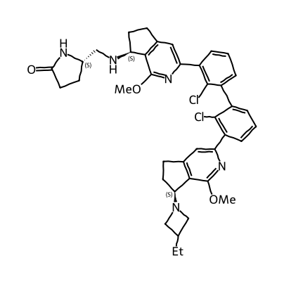 CCC1CN([C@H]2CCc3cc(-c4cccc(-c5cccc(-c6cc7c(c(OC)n6)[C@@H](NC[C@@H]6CCC(=O)N6)CC7)c5Cl)c4Cl)nc(OC)c32)C1